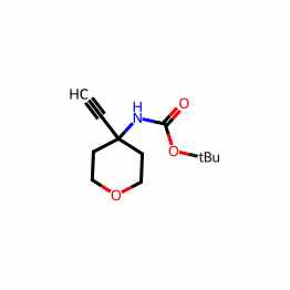 C#CC1(NC(=O)OC(C)(C)C)CCOCC1